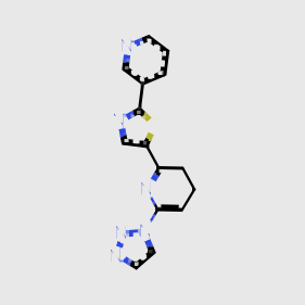 C1=C(n2ccnn2)N=C(c2cnc(-c3cccnc3)s2)CC1